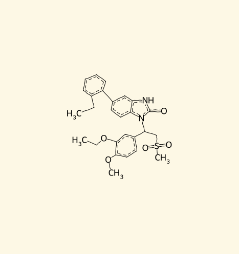 CCOc1cc(C(CS(C)(=O)=O)n2c(=O)[nH]c3cc(-c4ccccc4CC)ccc32)ccc1OC